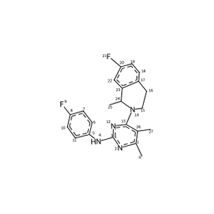 Cc1nc(Nc2ccc(F)cc2)nc(N2CCc3ccc(F)cc3C2C)c1C